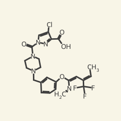 C=N/C(=C\C(=C/C)C(F)(F)F)Oc1cccc(CN2CCN(C(=O)n3cc(Cl)c(C(=O)O)n3)CC2)c1